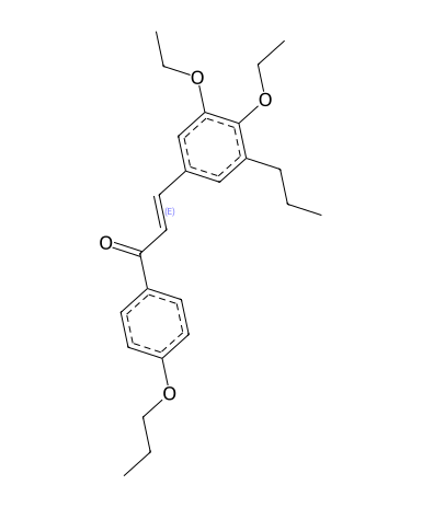 CCCOc1ccc(C(=O)/C=C/c2cc(CCC)c(OCC)c(OCC)c2)cc1